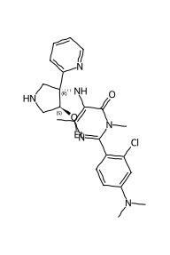 CCO[C@H]1CNC[C@@]1(Nc1c(C)nc(-c2ccc(N(C)C)cc2Cl)n(C)c1=O)c1ccccn1